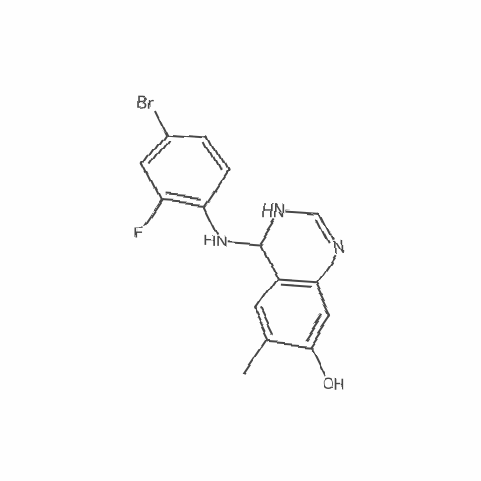 Cc1cc2c(cc1O)N=CNC2Nc1ccc(Br)cc1F